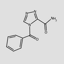 NC(=O)c1nncn1C(=O)c1ccccc1